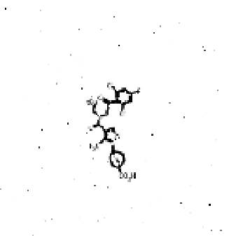 CC(C)(C)CN(CC(=O)c1c(Cl)cc(F)cc1Cl)C(=O)c1cnn(C23CCC(C(=O)O)(CC2)CC3)c1C(F)(F)F